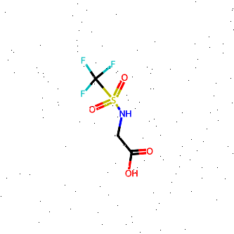 O=C(O)[CH]NS(=O)(=O)C(F)(F)F